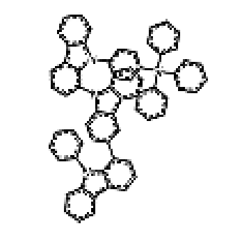 c1ccc(-n2c3ccccc3c3cccc(-c4ccc5c(c4)c4ccccc4n5-c4cccc5c6ccccc6n(-c6ccc([Si](c7ccccc7)(c7ccccc7)c7ccccc7)cc6)c45)c32)cc1